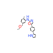 CCOCc1ccc(C)c(Nc2ncc(-c3ccc(-c4ccc[nH]4)cc3)o2)c1